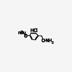 CCCCOc1ccc(CON)cc1.Cl